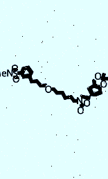 CNS(=O)(=O)c1cccc(CCCCOCCCCCCN2C[C@@H](c3ccc4c(c3)COC(C)(C)O4)OC2=O)c1